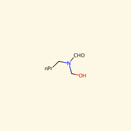 CCCCN(C=O)CO